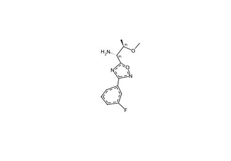 CO[C@H](C)[C@@H](N)c1nc(-c2cccc(F)c2)no1